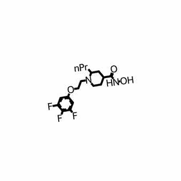 CCCC1CC(C(=O)NO)CCN1CCOc1cc(F)c(F)c(F)c1